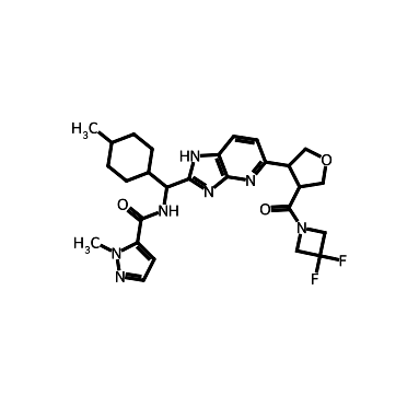 CC1CCC(C(NC(=O)c2ccnn2C)c2nc3nc(C4COCC4C(=O)N4CC(F)(F)C4)ccc3[nH]2)CC1